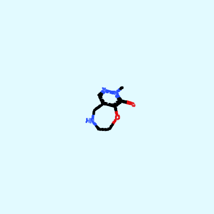 Cn1ncc2c(c1=O)OCCNC2